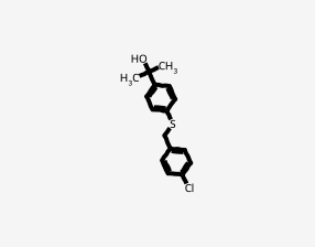 CC(C)(O)c1ccc(SCc2ccc(Cl)cc2)cc1